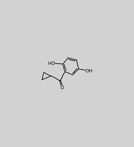 O=C(c1cc(O)ccc1O)C1CC1